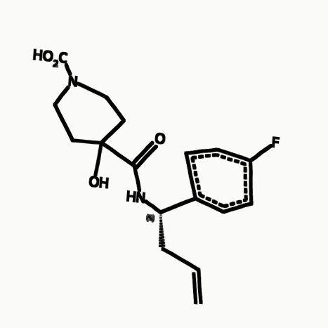 C=CC[C@H](NC(=O)C1(O)CCN(C(=O)O)CC1)c1ccc(F)cc1